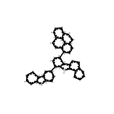 c1ccc2c(c1)ccc1c2oc2c(-c3ccc4sc5ccccc5c4c3)ccc(-c3ccc4ccc5cccc6ccc3c4c56)c21